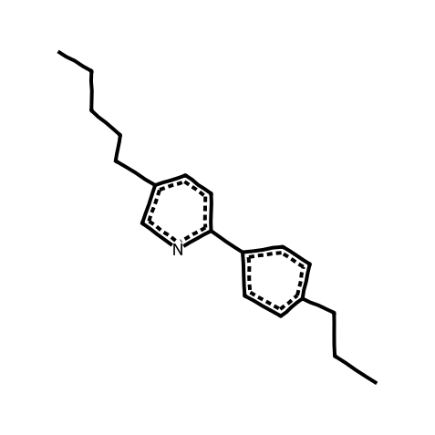 CCCCCc1ccc(-c2ccc(CCC)cc2)nc1